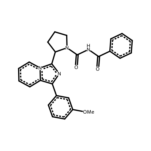 COc1cccc(-c2nc(C3CCCN3C(=O)NC(=O)c3ccccc3)n3ccccc23)c1